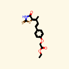 CCOC(=O)COc1ccc(C=CC(C)=C2SC(=S)NC2=O)cc1